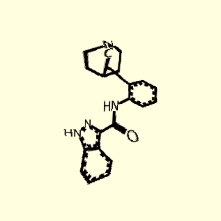 O=C(Nc1ccccc1C1CN2CCC1CC2)c1n[nH]c2ccccc12